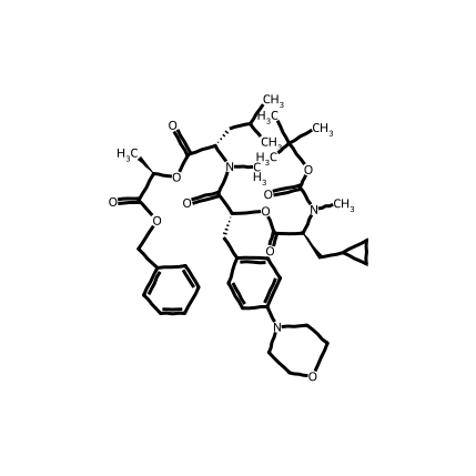 CC(C)C[C@@H](C(=O)O[C@H](C)C(=O)OCc1ccccc1)N(C)C(=O)[C@@H](Cc1ccc(N2CCOCC2)cc1)OC(=O)[C@H](CC1CC1)N(C)C(=O)OC(C)(C)C